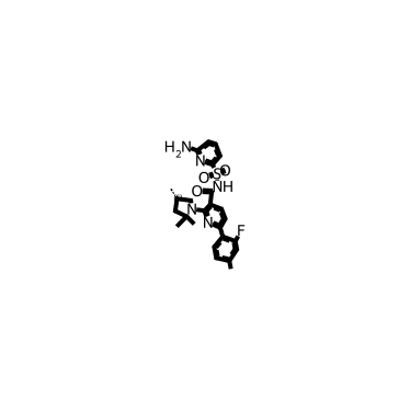 Cc1ccc(-c2ccc(C(=O)NS(=O)(=O)c3cccc(N)n3)c(N3C[C@@H](C)CC3(C)C)n2)c(F)c1